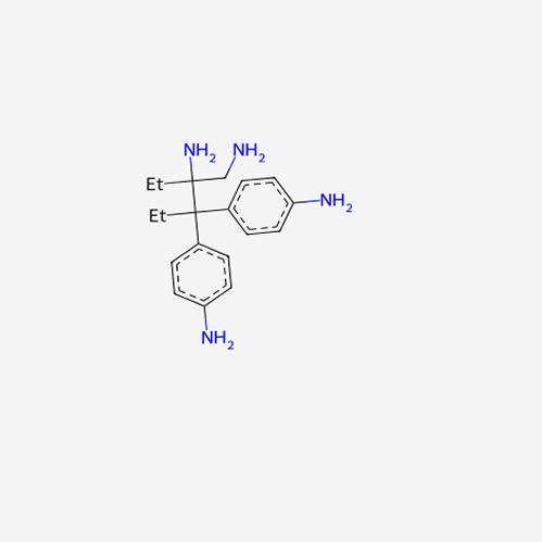 CCC(N)(CN)C(CC)(c1ccc(N)cc1)c1ccc(N)cc1